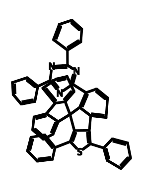 c1ccc(-c2nc(-c3ccccc3)nc(-c3cccc4c3C3(c5ccccc5-c5ccccc53)c3c(-c5ccccc5)sc(-c5ccccc5)c3-4)n2)cc1